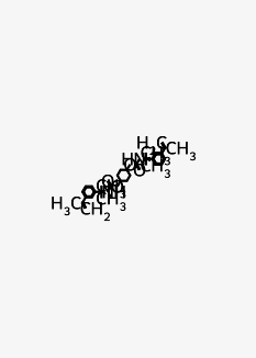 C=C(C)c1cccc(C(C)(C)NC(=O)OC2CCC(OC(=O)NC(C)(C)c3cccc(C(=C)C)c3)CC2)c1